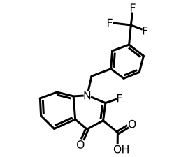 O=C(O)c1c(F)n(Cc2cccc(C(F)(F)F)c2)c2ccccc2c1=O